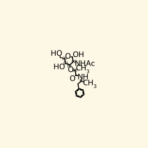 CC(=O)N[C@H]1C(O)O[C@H](CO)[C@@H](O)[C@@H]1O[C@H](C)C(=O)N[C@@H](C)Cc1ccccc1